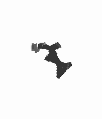 [CH2]C(=O)CC1CO1